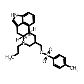 CCCN1CC(COS(=O)(=O)c2ccc(C)cc2)C[C@@H]2c3cccc4[nH]cc(c34)C[C@H]21